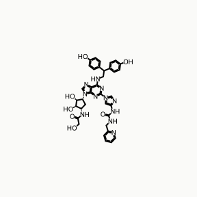 O=C(CO)N[C@H]1C[C@@H](n2cnc3c(NCC(c4ccc(O)cc4)c4ccc(O)cc4)nc(-n4cnc(NC(=O)NCc5ccccn5)c4)nc32)[C@H](O)[C@@H]1O